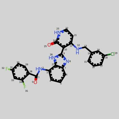 O=C(Nc1cccc2nc(-c3c(NCc4cccc(Cl)c4)cc[nH]c3=O)[nH]c12)c1ccc(F)cc1F